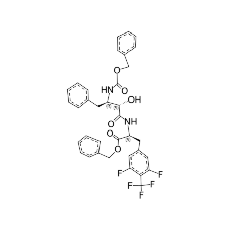 O=C(N[C@H](Cc1ccccc1)[C@H](O)C(=O)N[C@@H](Cc1cc(F)c(C(F)(F)F)c(F)c1)C(=O)OCc1ccccc1)OCc1ccccc1